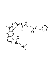 Cc1c2ccnc(C(=O)NCCN(C)C)c2cc2c3cc(OC(=O)NCCC(=O)OCc4ccccc4)ccc3n(C)c12